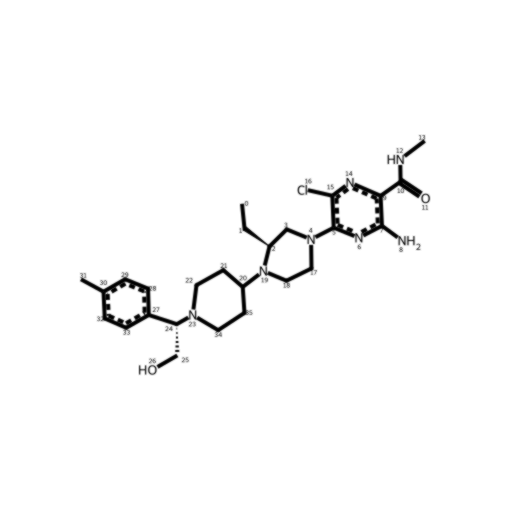 CC[C@H]1CN(c2nc(N)c(C(=O)NC)nc2Cl)CCN1C1CCN([C@H](CO)c2ccc(C)cc2)CC1